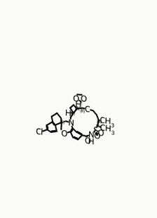 C[C@@H]1[C@@H](C)CCC[C@@H](C2OCCO2)[C@@H]2CC[C@H]2CN2C[C@@]3(CCCc4cc(Cl)ccc43)COc3ccc(cc32)C(=O)NS1(=O)=O